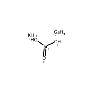 O=[Si](O)O.[GaH3].[KH]